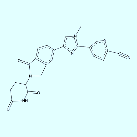 Cn1cc(-c2ccc3c(c2)CN(C2CCC(=O)NC2=O)C3=O)nc1-c1ccc(C#N)nc1